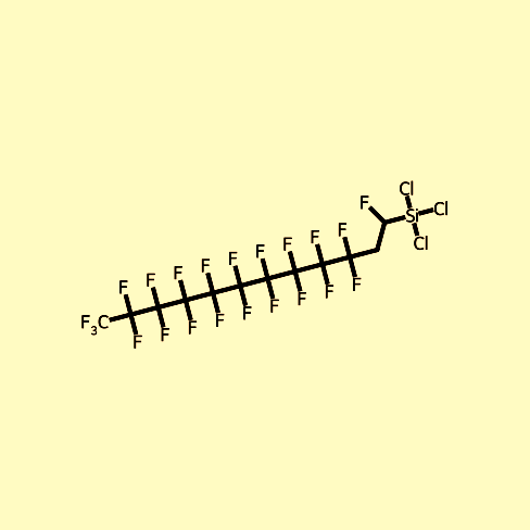 FC(CC(F)(F)C(F)(F)C(F)(F)C(F)(F)C(F)(F)C(F)(F)C(F)(F)C(F)(F)C(F)(F)C(F)(F)F)[Si](Cl)(Cl)Cl